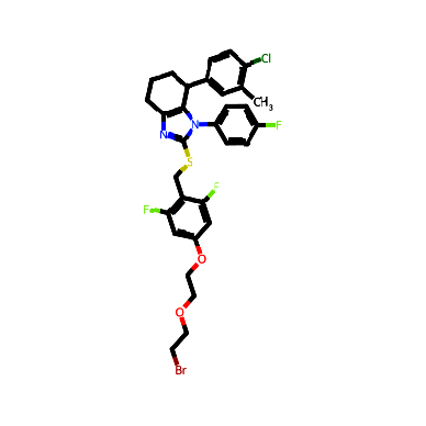 Cc1cc(C2CCCc3nc(SCc4c(F)cc(OCCOCCBr)cc4F)n(-c4ccc(F)cc4)c32)ccc1Cl